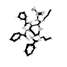 C=CCC[C@@H](N[S@+]([O-])C(C)(C)C)[C@H]1O[C@H](SCC=C)[C@H](OC(=O)c2ccccc2)[C@@H](OC(=O)c2ccccc2)[C@H]1OC(=O)c1ccccc1